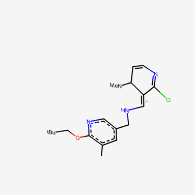 CNC1C=CN=C(Cl)/C1=C/NCc1cnc(OCC(C)(C)C)c(C)c1